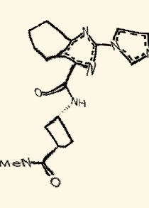 CNC(=O)[C@H]1C[C@H](NC(=O)c2nc(-n3ccnc3)nc3c2CCC3)C1